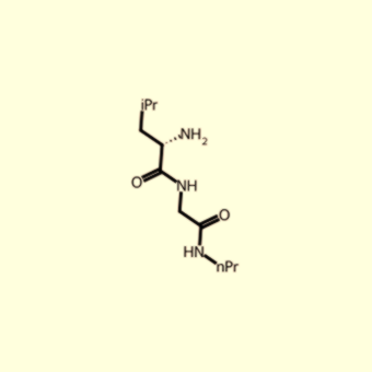 CCCNC(=O)CNC(=O)[C@@H](N)CC(C)C